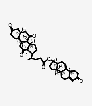 CC(CCC(=O)O[C@]1(C)CC[C@@H]2[C@H]3CCC4=CC(=O)CC[C@@]4(C)C3=CC[C@]21C)C1CC[C@H]2[C@@H]3C(=O)C[C@@H]4CC(=O)CC[C@]4(C)[C@H]3CC(=O)[C@]12C